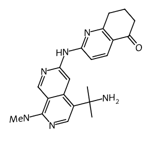 CNc1ncc(C(C)(C)N)c2cc(Nc3ccc4c(n3)CCCC4=O)ncc12